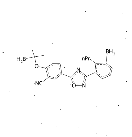 Bc1cccc(-c2noc(-c3ccc(OC(B)(C)C)c(C#N)c3)n2)c1CCC